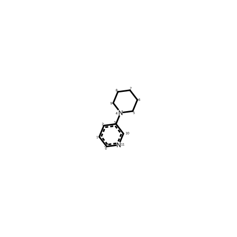 [c]1ccc(N2CCCCC2)cn1